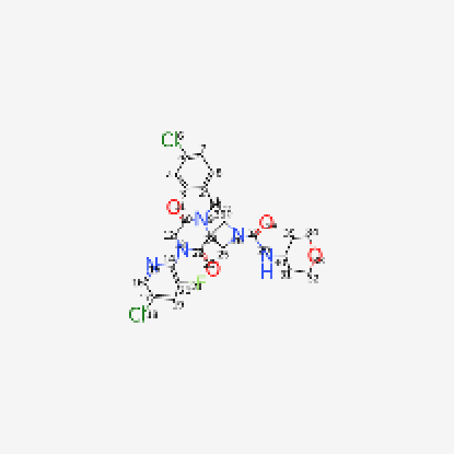 C[C@@H](c1ccc(Cl)cc1)N1C(=O)CN(c2ncc(Cl)cc2F)C(=O)C12CN(C(=O)NC1CCOCC1)C2